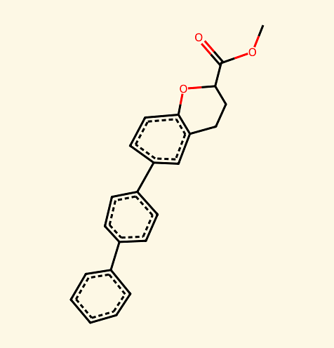 COC(=O)C1CCc2cc(-c3ccc(-c4ccccc4)cc3)ccc2O1